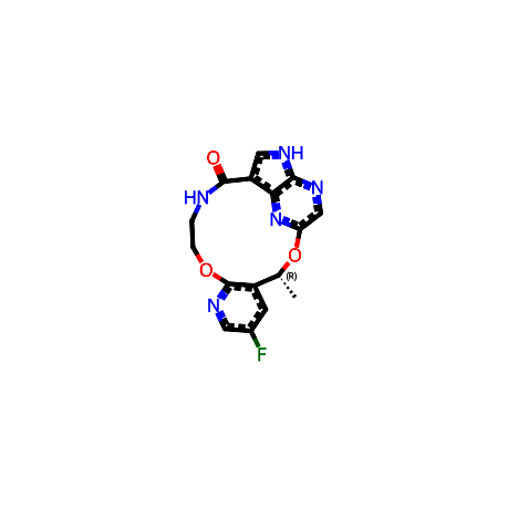 C[C@H]1Oc2cnc3[nH]cc(c3n2)C(=O)NCCOc2ncc(F)cc21